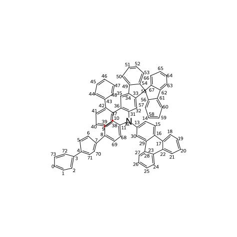 c1ccc(-c2ccc(-c3ccc(N(c4ccc5c6ccccc6c6ccccc6c5c4)c4cc5c(cc4-c4ccccc4-c4ccccc4)-c4ccccc4C54c5ccccc5-c5ccccc54)cc3)cc2)cc1